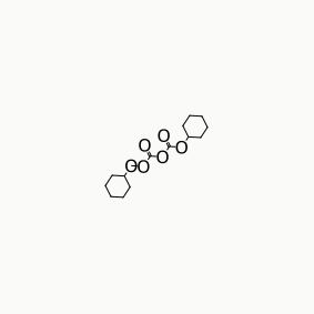 O=C(OOC1CCCCC1)OC(=O)OC1CCCCC1